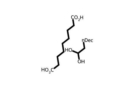 CCCCCCCCCCCC(O)O.O=C(O)CCCCCCCC(=O)O